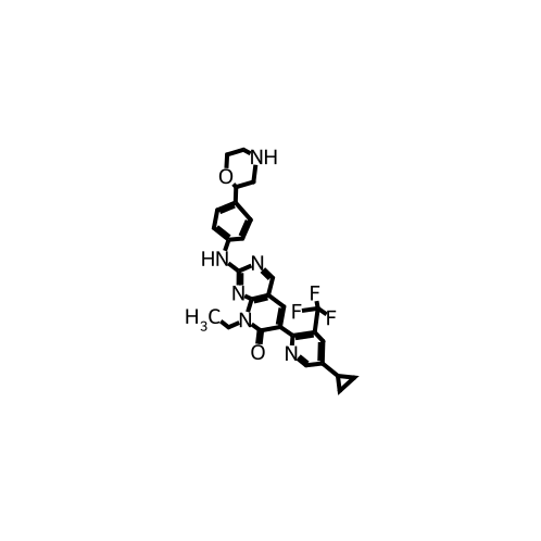 CCn1c(=O)c(-c2ncc(C3CC3)cc2C(F)(F)F)cc2cnc(Nc3ccc(C4CNCCO4)cc3)nc21